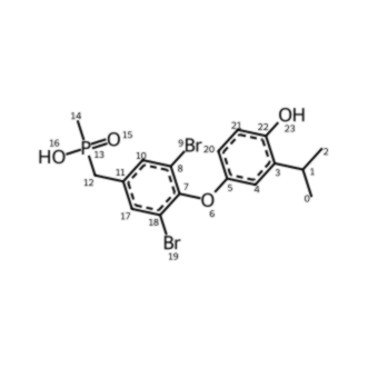 CC(C)c1cc(Oc2c(Br)cc(CP(C)(=O)O)cc2Br)ccc1O